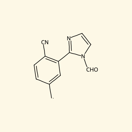 [CH2]c1ccc(C#N)c(-c2nccn2C=O)c1